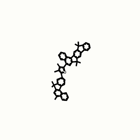 Cc1c(-c2ccc3c(c2)C(C)(C)c2cc(C)c4ccccc4c2-3)oc(-c2cc3c(c4ccccc24)-c2cc4c(cc2C3(C)C)-c2ccccc2C4(C)C)c1C